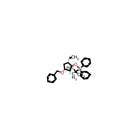 C=C[C@H]1C[C@H](OCc2ccccc2)[C@@H](F)[C@@H]1O[Si](c1ccccc1)(c1ccccc1)C(C)(C)C